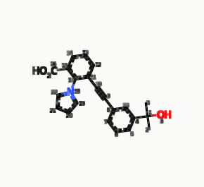 CC(C)(O)c1cccc(C#Cc2cccc(C(=O)O)c2-n2cccc2)c1